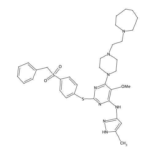 COc1c(Nc2cc(C)[nH]n2)nc(Sc2ccc(S(=O)(=O)Cc3ccccc3)cc2)nc1N1CCN(CCN2CCCCCC2)CC1